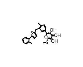 CS[C@H]1OC(c2ccc(C)c(Cc3ccc(-c4ccccc4C)s3)c2)[C@H](O)[C@@H](O)[C@@H]1O